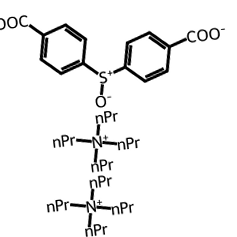 CCC[N+](CCC)(CCC)CCC.CCC[N+](CCC)(CCC)CCC.O=C([O-])c1ccc([S+]([O-])c2ccc(C(=O)[O-])cc2)cc1